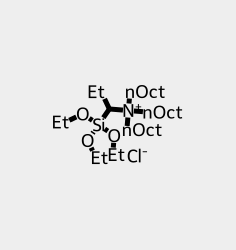 CCCCCCCC[N+](CCCCCCCC)(CCCCCCCC)C(CC)[Si](OCC)(OCC)OCC.[Cl-]